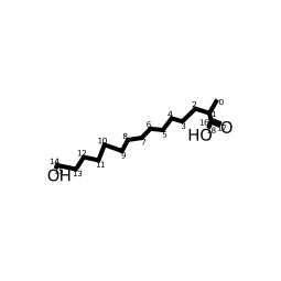 CC(CCCCCCCCCCCCCO)C(=O)O